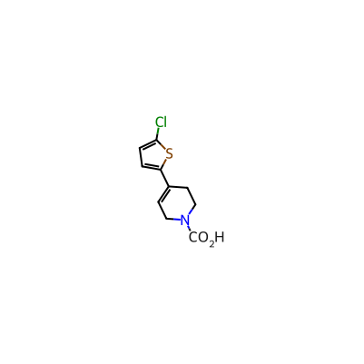 O=C(O)N1CC=C(c2ccc(Cl)s2)CC1